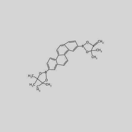 C=C1OB(c2ccc3ccc4c5ccc(B6OC(C)(C)C(C)(C)O6)cc5ccc4c3c2)OC1(C)C